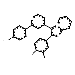 O=Cc1ccc(-c2cc(-c3c(-c4ccc(F)c(Cl)c4)nc4ccccn34)ccn2)cc1